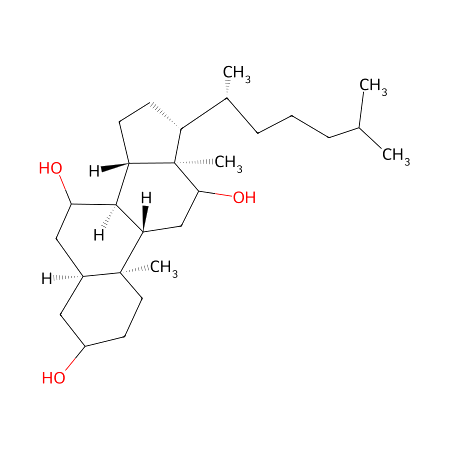 CC(C)CCC[C@@H](C)[C@H]1CC[C@H]2[C@@H]3C(O)C[C@@H]4CC(O)CC[C@]4(C)[C@H]3CC(O)[C@]12C